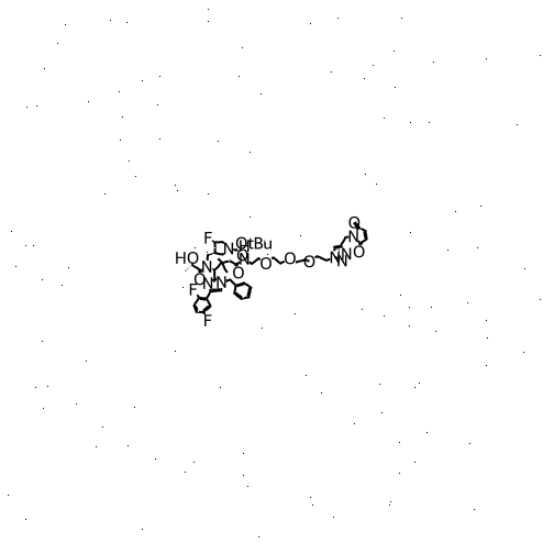 C[C@H](O)C(=O)N(C[C@@H]1CN(C(=O)OC(C)(C)C)C[C@@H]1F)[C@@H](c1nc(-c2cc(F)ccc2F)cn1Cc1ccccc1)C(C)(C)CC(=O)NCCOCCOCCOCCn1cc(CN2C(=O)C=CC2=O)nn1